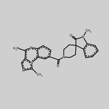 Cc1ncc2c(N)nc3ccc(C(=O)N4CCC5(CC4)C(=O)N(C)c4ccccc45)cc3n12